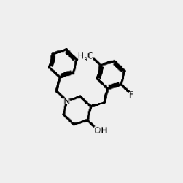 Cc1ccc(F)c(CC2CN(Cc3ccccc3)CCC2O)c1